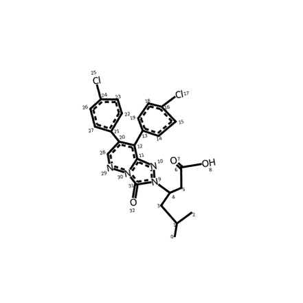 CC(C)CC(CC(=O)O)n1nc2c(-c3ccc(Cl)cc3)c(-c3ccc(Cl)cc3)cnn2c1=O